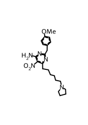 COc1ccc(Cc2nc(N)c([N+](=O)[O-])c(CCCCCCN3CCCC3)n2)cc1